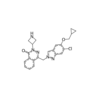 O=c1c2ccccc2c(Cn2cc3cc(OCC4CC4)c(Cl)cc3n2)nn1C1CNC1